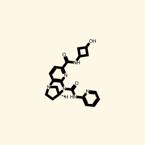 O=C(NC1CC(O)C1)c1ccc2c(n1)N(C(=O)Nc1ccccn1)[C@H]1CCN2C1